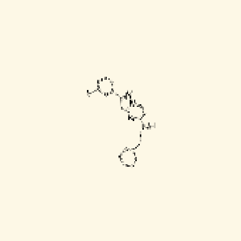 Fc1cccc(-c2cc3nc(NCCc4ccccc4)ccn3n2)c1